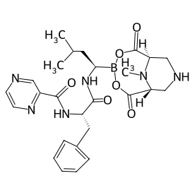 CC(C)C[C@H](NC(=O)[C@H](Cc1ccccc1)NC(=O)c1cnccn1)B1OC(=O)[C@H]2CNC[C@H](C(=O)O1)N2C